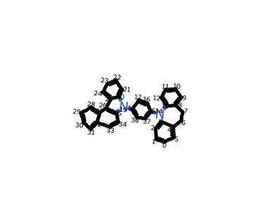 c1ccc2c(c1)CCc1ccccc1N2c1ccc(-n2c3ccccc3c3c4ccccc4ccc32)cc1